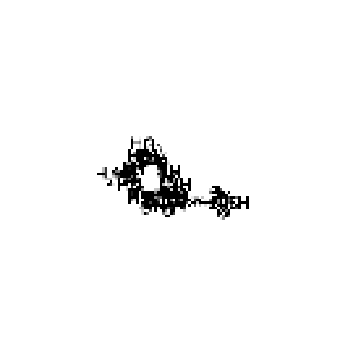 CCC(C)C1NC(=O)NC(=O)C2Cc3c([nH]c4cc(OCCCCCCN5C(=O)CC(S)C5=O)ccc34)CCC(NC(=O)CNC1=O)C(=O)NC(CC(N)=O)C(=O)N1CC(O)C1CC(C(C)C(O)CO)C(=O)N2